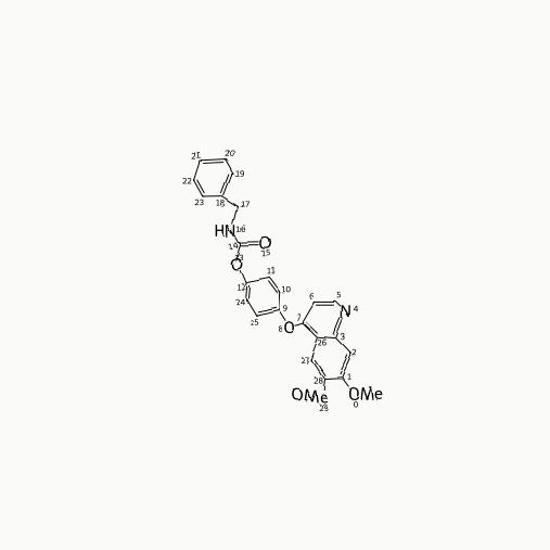 COc1cc2nccc(Oc3ccc(OC(=O)NCc4ccccc4)cc3)c2cc1OC